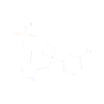 CS(=O)(=O)OCc1conc1CC1(c2cccc(Br)c2)COC1